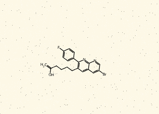 C=C(O)CCCCc1cc2cc(Br)cnc2nc1-c1ccc(F)cc1